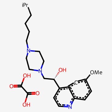 COc1ccc2nccc([C@@H](O)CN3CCN(CCCCC(C)C)CC3)c2c1.O=C(O)C(=O)O